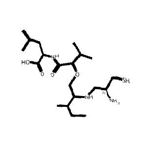 CCC(C)C(COC(C(=O)NC(CC(C)C)C(=O)O)C(C)C)NC[C@H](N)CS